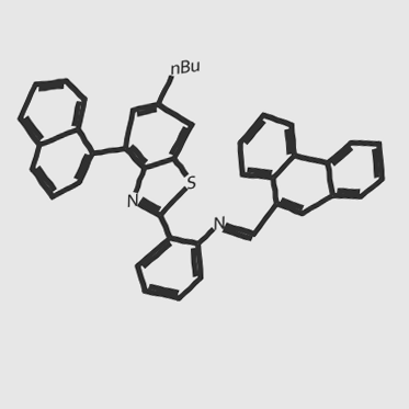 CCCCc1cc(-c2cccc3ccccc23)c2nc(-c3ccccc3/N=C/c3cc4ccccc4c4ccccc34)sc2c1